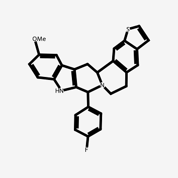 COc1ccc2[nH]c3c(c2c1)CC1c2cc4sccc4cc2CCN1C3c1ccc(F)cc1